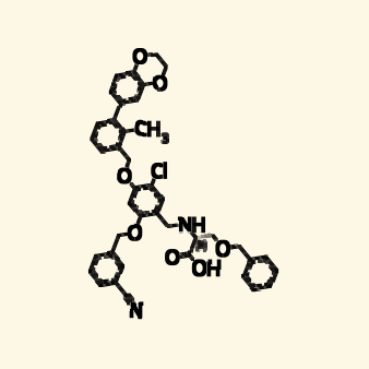 Cc1c(COc2cc(OCc3cccc(C#N)c3)c(CN[C@H](COCc3ccccc3)C(=O)O)cc2Cl)cccc1-c1ccc2c(c1)OCCO2